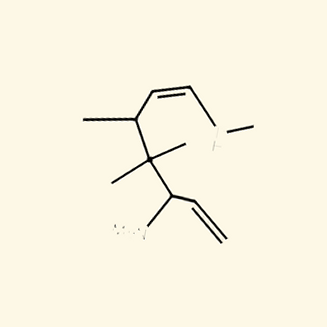 C=CC(NC)C(C)(C)C(C)/C=C\PC